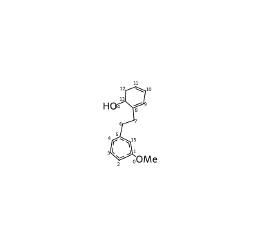 COc1cccc(CCC2=CC=CCC2O)c1